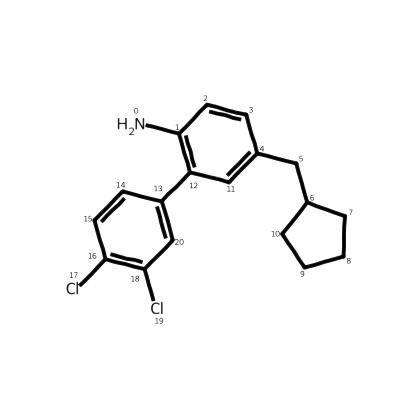 Nc1ccc(CC2CCCC2)cc1-c1ccc(Cl)c(Cl)c1